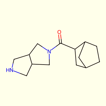 O=C(C1CC2CCC1C2)N1CC2CNCC2C1